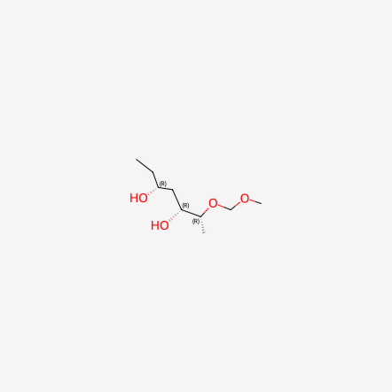 CC[C@@H](O)C[C@@H](O)[C@@H](C)OCOC